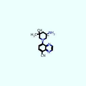 CC1(C)C[C@@H](N)CN(c2ccc(C#N)c3nccnc23)C1